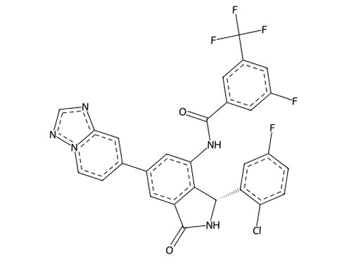 O=C(Nc1cc(-c2ccn3ncnc3c2)cc2c1[C@H](c1cc(F)ccc1Cl)NC2=O)c1cc(F)cc(C(F)(F)F)c1